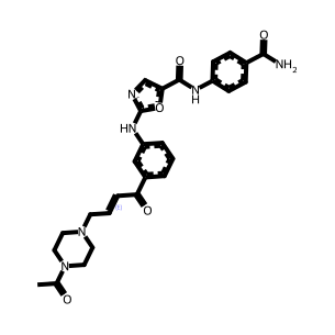 CC(=O)N1CCN(C/C=C/C(=O)c2cccc(Nc3ncc(C(=O)Nc4ccc(C(N)=O)cc4)o3)c2)CC1